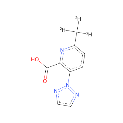 [2H]C([2H])([2H])c1ccc(-n2nccn2)c(C(=O)O)n1